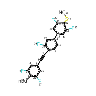 CCCCc1c(F)cc(C#Cc2ccc(-c3cc(F)c(SC#N)c(F)c3)cc2F)cc1F